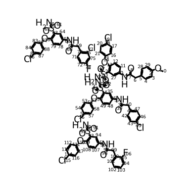 COc1ccc(CC(=O)Nc2ccc(Oc3ccc(Cl)cc3)c(S(N)(=O)=O)c2)cc1.NS(=O)(=O)c1cc(NC(=O)Cc2ccc(Cl)cc2)ccc1Oc1ccc(Cl)cc1.NS(=O)(=O)c1cc(NC(=O)Cc2ccc(F)cc2Cl)ccc1Oc1ccc(Cl)cc1.NS(=O)(=O)c1cc(NC(=O)Cc2ccccc2F)ccc1Oc1ccc(Cl)cc1